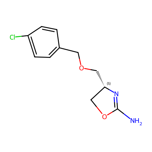 NC1=N[C@@H](COCc2ccc(Cl)cc2)CO1